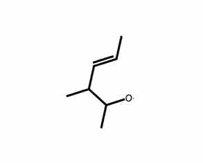 CC=CC(C)C(C)[O]